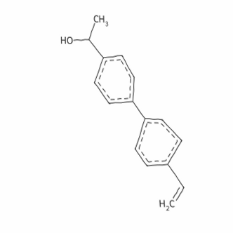 C=Cc1ccc(-c2ccc(C(C)O)cc2)cc1